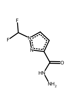 NNC(=O)c1ccn(C(F)F)n1